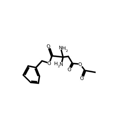 CC(=O)OC(=O)CC(N)(N)C(=O)OCc1ccccc1